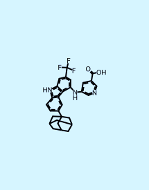 O=C(O)c1cncc(Nc2cc(C(F)(F)F)cc3[nH]c4ccc(C56CC7CC(CC(C7)C5)C6)cc4c23)c1